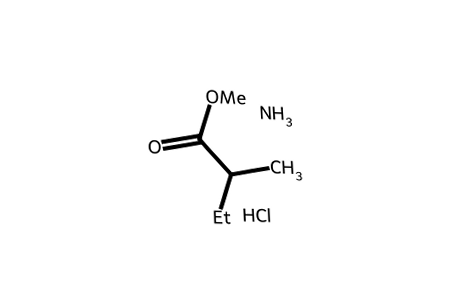 CCC(C)C(=O)OC.Cl.N